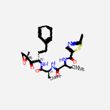 COCC(NC(=O)c1cnc(C)s1)C(=O)N[C@@H](COC)C(=O)N[C@@H](CCc1ccccc1)C(=O)[C@@]1(C)CO1